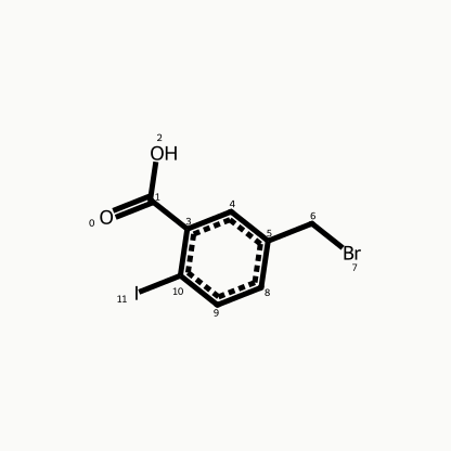 O=C(O)c1cc(CBr)ccc1I